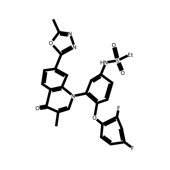 CCS(=O)(=O)Nc1ccc(Oc2ccc(F)cc2F)c(-n2cc(C)c(=O)c3ccc(-c4nnc(C)o4)cc32)c1